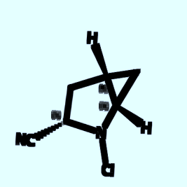 N#C[C@@H]1C[C@@H]2C[C@@H]2N1Cl